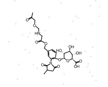 CC(=O)COCNCC(=O)OCc1ccc(O[C@@H]2O[C@H](C(=O)O)[C@@H](O)[C@H](O)[C@H]2O)c(N2C(=O)CC(C)C2=O)c1